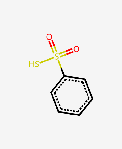 O=S(=O)(S)c1ccccc1